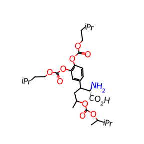 CC(C)CCOC(=O)Oc1ccc(C(CC(C)OC(=O)OC(C)C(C)C)[C@H](N)C(=O)O)cc1OC(=O)OCCC(C)C